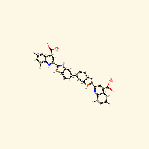 Cc1cc(C)c2nc(-c3cc4ccc(-c5ccc6sc(-c7cc(C(=O)O)c8cc(C)cc(C)c8n7)nc6c5)cc4o3)cc(C(=O)O)c2c1